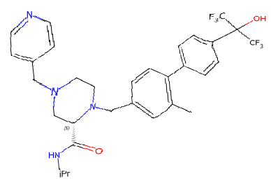 Cc1cc(CN2CCN(Cc3ccncc3)C[C@H]2C(=O)NC(C)C)ccc1-c1ccc(C(O)(C(F)(F)F)C(F)(F)F)cc1